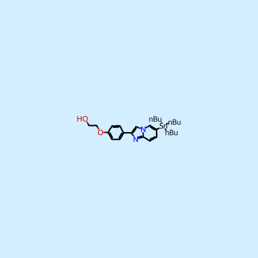 CCC[CH2][Sn]([CH2]CCC)([CH2]CCC)[c]1ccc2nc(-c3ccc(OCCO)cc3)cn2c1